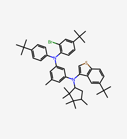 Cc1cc(N(c2ccc(C(C)(C)C)cc2)c2ccc(C(C)(C)C)cc2Br)cc(N(c2csc3ccc(C(C)(C)C)cc23)C2CC(C)C(C)(C)C2(C)C)c1